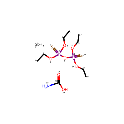 CCOP(=S)(OCC)OP(=S)(OCC)OCC.NC(=O)O.[SbH3]